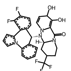 O=C1C2=C(O)C(O)C=CN2N([C@@H]2c3ccccc3-n3cccc3-c3c2ccc(F)c3F)[C@@H]2CC(C(F)(F)F)CCN12